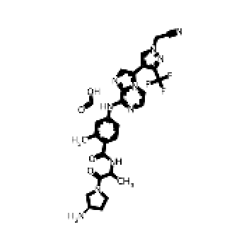 Cc1cc(Nc2nccn3c(-c4cn(CC#N)nc4C(F)(F)F)cnc23)ccc1C(=O)NC(C)C(=O)N1CC[C@@H](N)C1.O=CO